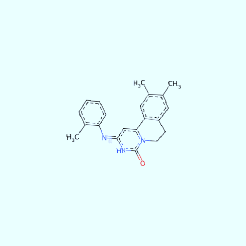 Cc1cc2c(cc1C)-c1c/c(=N\c3ccccc3C)[nH]c(=O)n1CC2